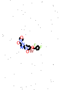 Cc1cc(OCc2ccc(F)cc2F)c(Br)c(=O)n1Cc1cnc(C(=O)N2CCOCC2)cn1